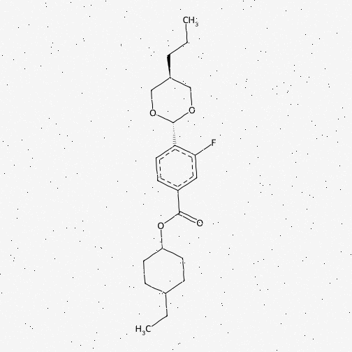 CCC[C@H]1CO[C@H](c2ccc(C(=O)OC3CCC(CC)CC3)cc2F)OC1